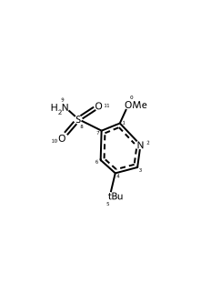 COc1ncc(C(C)(C)C)cc1S(N)(=O)=O